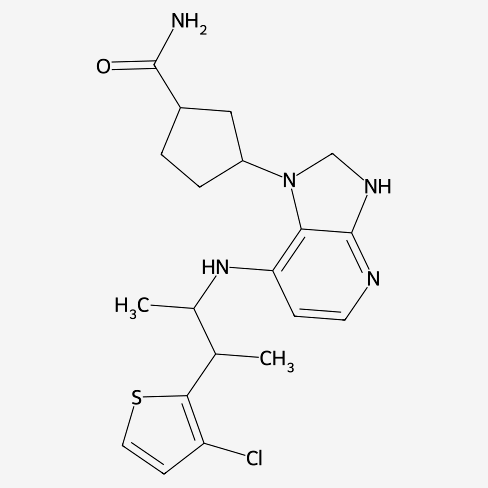 CC(Nc1ccnc2c1N(C1CCC(C(N)=O)C1)CN2)C(C)c1sccc1Cl